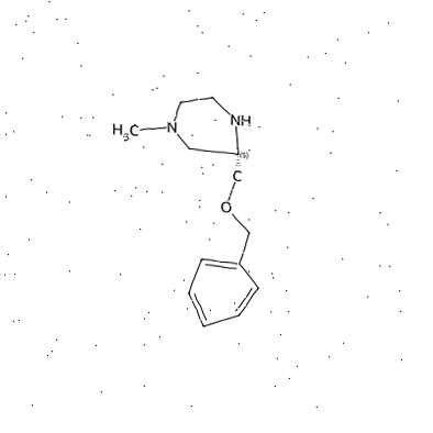 CN1CCN[C@H](COCc2ccccc2)C1